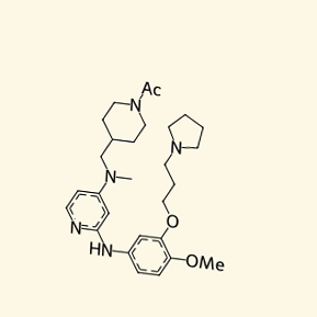 COc1ccc(Nc2cc(N(C)CC3CCN(C(C)=O)CC3)ccn2)cc1OCCCN1CCCC1